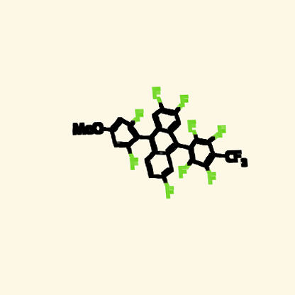 COc1cc(F)c(-c2c3ccc(F)cc3c(-c3c(F)c(F)c(C(F)(F)F)c(F)c3F)c3cc(F)c(F)cc23)c(F)c1